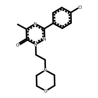 Cc1nc(-c2ccc(Cl)cc2)nn(CCN2CCOCC2)c1=O